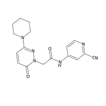 N#Cc1cc(NC(=O)Cn2nc(N3CCCCC3)ccc2=O)ccn1